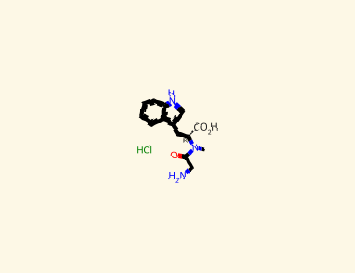 CN(C(=O)CN)[C@H](Cc1c[nH]c2ccccc12)C(=O)O.Cl